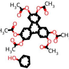 CC(=O)Oc1cc2c3cc(OC(C)=O)c(OC(C)=O)cc3c3cc(OC(C)=O)c(OC(C)=O)cc3c2cc1OC(C)=O.Oc1ccccc1